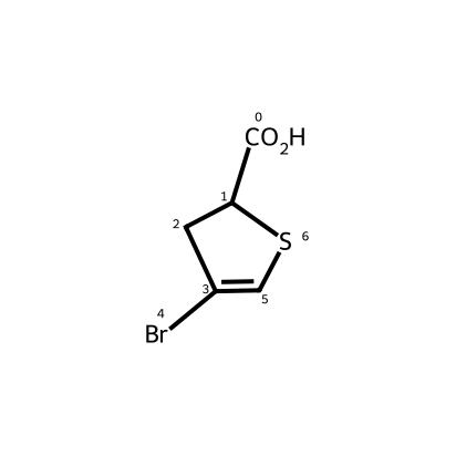 O=C(O)C1CC(Br)=CS1